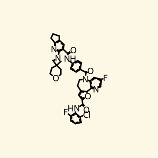 O=C(Nc1c(F)cccc1Cl)c1cc2c(o1)-c1ncc(F)cc1N(C(=O)c1ccc(NC(=O)c3cc4c(nc3N3CC5(CCOCC5)C3)CCC4)cc1)CC2